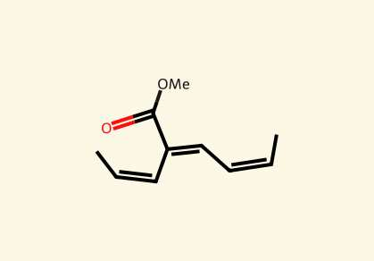 C\C=C/C=C(\C=C/C)C(=O)OC